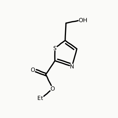 CCOC(=O)c1ncc(CO)s1